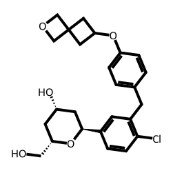 OC[C@@H]1C[C@H](O)C[C@@H](c2ccc(Cl)c(Cc3ccc(OC4CC5(COC5)C4)cc3)c2)O1